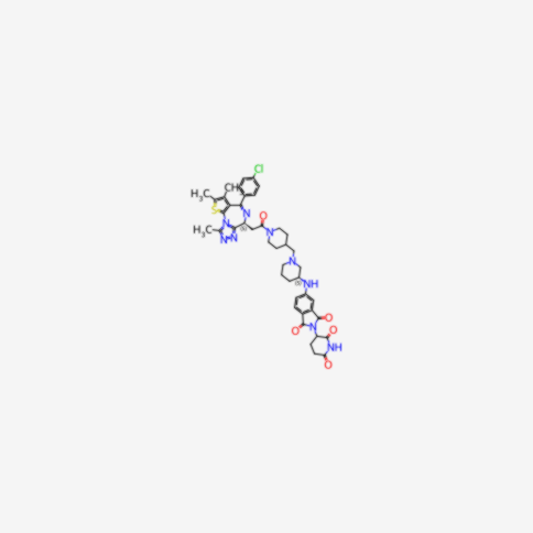 Cc1sc2c(c1C)C(c1ccc(Cl)cc1)=N[C@@H](CC(=O)N1CCC(CN3CCC[C@H](Nc4ccc5c(c4)C(=O)N(C4CCC(=O)NC4=O)C5=O)C3)CC1)c1nnc(C)n1-2